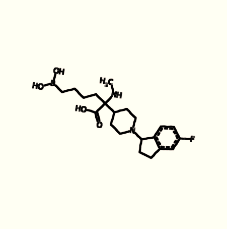 CNC(CCCCB(O)O)(C(=O)O)C1CCN(C2CCc3cc(F)ccc32)CC1